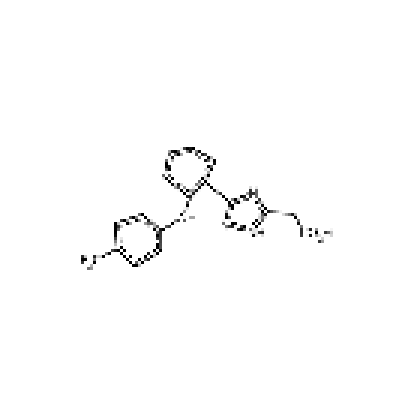 CCOC(=O)Cc1nc(-c2ccccc2Nc2ccc(C(F)(F)F)cc2)n[nH]1